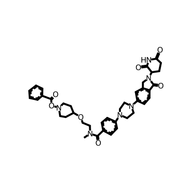 CN(CCOC1CCN(OC(=O)c2ccccc2)CC1)C(=O)c1ccc(N2CCN(c3ccc4c(c3)CN(C3CCC(=O)NC3=O)C4=O)CC2)cc1